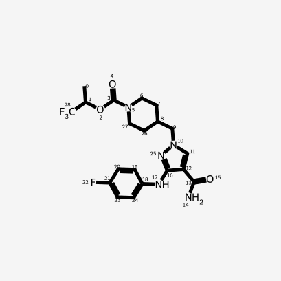 CC(OC(=O)N1CCC(Cn2cc(C(N)=O)c(Nc3ccc(F)cc3)n2)CC1)C(F)(F)F